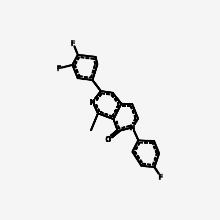 Cc1nc(-c2ccc(F)c(F)c2)cc2ccn(-c3ccc(F)cc3)c(=O)c12